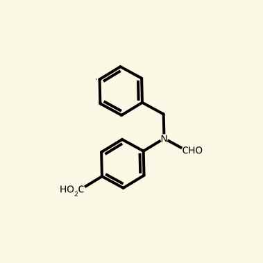 O=CN(Cc1cc[c]cc1)c1ccc(C(=O)O)cc1